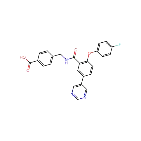 O=C(O)c1ccc(CNC(=O)c2cc(-c3cncnc3)ccc2Oc2ccc(F)cc2)cc1